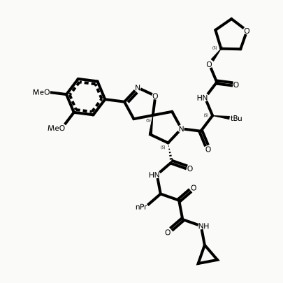 CCCC(NC(=O)[C@@H]1C[C@]2(CC(c3ccc(OC)c(OC)c3)=NO2)CN1C(=O)[C@@H](NC(=O)O[C@H]1CCOC1)C(C)(C)C)C(=O)C(=O)NC1CC1